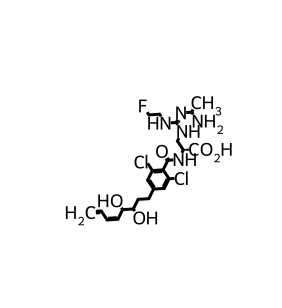 C=C/C=C\C(O)C(O)CCc1cc(Cl)c(C(=O)N[C@@H](CN/C(=N\C(C)N)NCCF)C(=O)O)c(Cl)c1